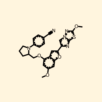 COc1cc(OCC2CCCN2c2ccc(C#N)cc2)c2cc(-c3cn4nc(OC)sc4n3)oc2c1